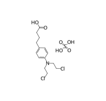 O=C(O)CCCc1ccc(N(CCCl)CCCl)cc1.O=S(=O)(O)O